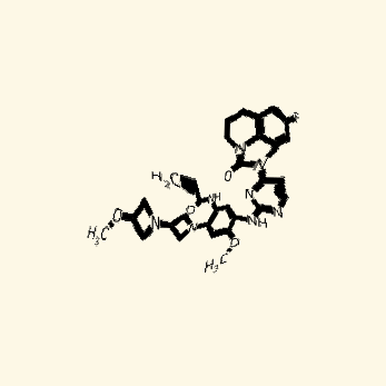 C=CC(=O)Nc1cc(Nc2nccc(-n3c(=O)n4c5c(cc(F)cc53)CCC4)n2)c(OC)cc1N1CC(N2CC(OC)C2)C1